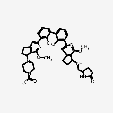 COc1nc(-c2cccc(-c3cccc(-c4cc5c(c(OC)n4)C(N4CCN(C(C)=O)CC4)CC5)c3Cl)c2Cl)cc2c1C(NCC1CCC(=O)N1)CC2